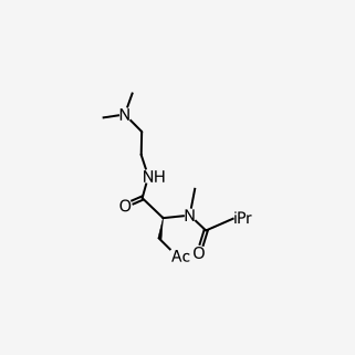 CC(=O)C[C@@H](C(=O)NCCN(C)C)N(C)C(=O)C(C)C